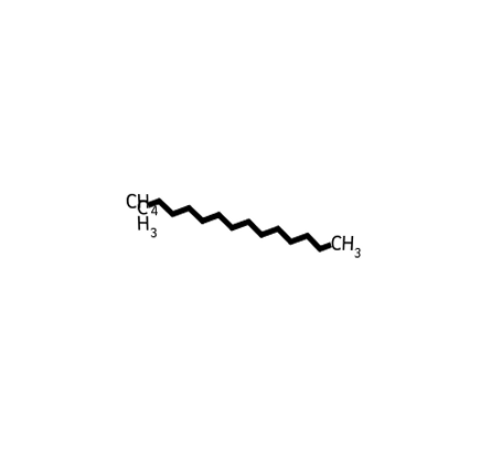 C.CCCCCCCCCCCCCC